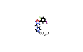 CCOC(=O)N1CCN(Cc2noc(-c3cc(I)ccc3F)n2)CC1